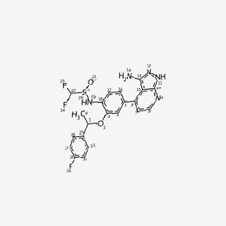 CC(Oc1cc(-c2ccnc3[nH]nc(N)c23)ccc1N[S+]([O-])C(F)F)c1ccc(F)cc1